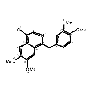 COc1ccc(Cc2ncc(Cl)c3cc(OC)c(OC)cc23)cc1OC